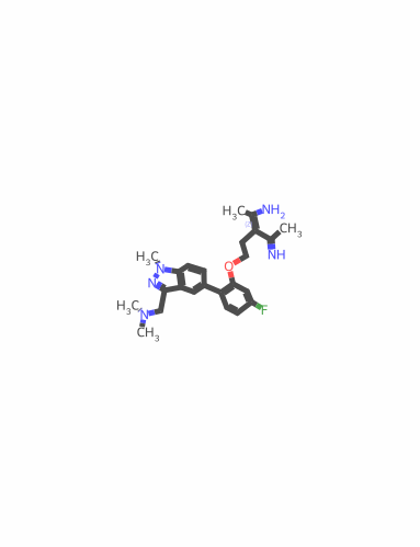 CC(=N)/C(CCOc1cc(F)ccc1-c1ccc2c(c1)c(CN(C)C)nn2C)=C(/C)N